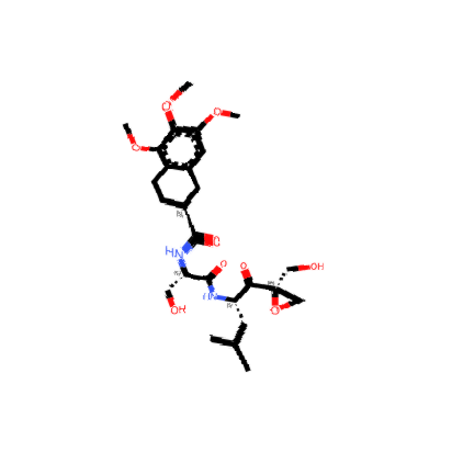 COc1cc2c(c(OC)c1OC)CC[C@H](C(=O)N[C@@H](CO)C(=O)N[C@@H](CC(C)C)C(=O)[C@@]1(CO)CO1)C2